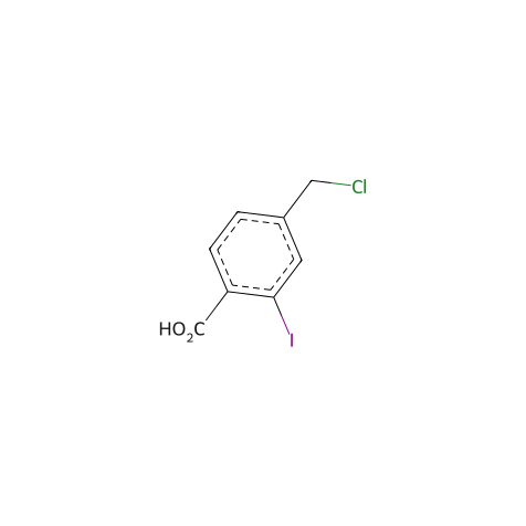 O=C(O)c1ccc(CCl)cc1I